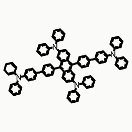 C1=CC(N(c2ccccc2)c2ccc(-c3ccc(-c4c5ccc(N(c6ccccc6)c6ccccc6)cc5c(-c5ccc(-c6ccc(N(c7ccccc7)c7ccccc7)cc6)cc5)c5ccc(N(c6ccccc6)c6ccccc6)cc45)cc3)cc2)=CCC1